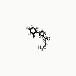 CCOC(=O)c1ncc(-c2ccc(F)cc2F)s1